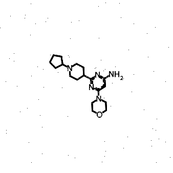 Nc1cc(N2CCOCC2)nc(C2CCN(C3CCCC3)CC2)n1